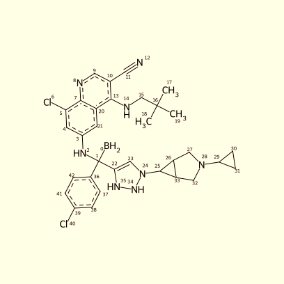 BC(Nc1cc(Cl)c2ncc(C#N)c(NCC(C)(C)C)c2c1)(C1=CN(C2C3CN(C4CC4)CC32)NN1)c1ccc(Cl)cc1